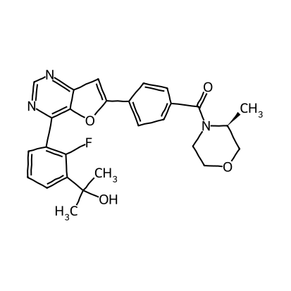 C[C@H]1COCCN1C(=O)c1ccc(-c2cc3ncnc(-c4cccc(C(C)(C)O)c4F)c3o2)cc1